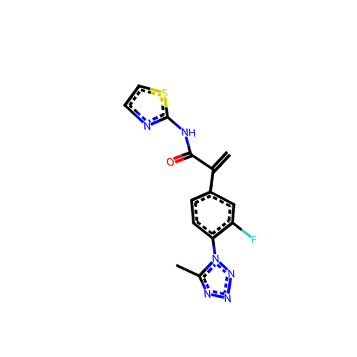 C=C(C(=O)Nc1nccs1)c1ccc(-n2nnnc2C)c(F)c1